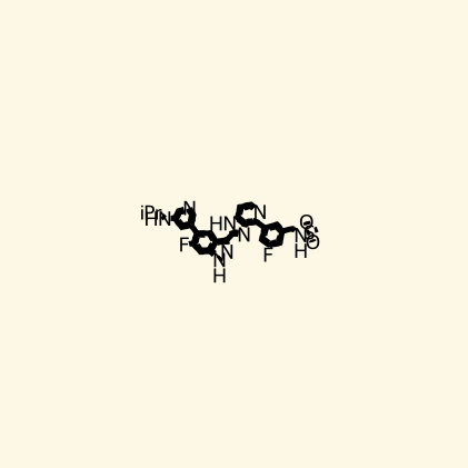 CC(C)Nc1cncc(-c2cc3c(-c4nc5c(-c6cc(F)cc(CNS(C)(=O)=O)c6)nccc5[nH]4)n[nH]c3cc2F)c1